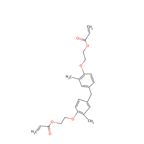 C=CC(=O)OCCOc1ccc(Cc2ccc(OCCOC(=O)C=C)c(C)c2)cc1C